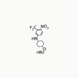 CCCCOC1CCC(Nc2ccc([N+](=O)[O-])c(C(F)(F)F)c2)CC1